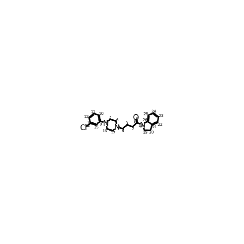 O=C(CCCN1CCN(c2cccc(Cl)c2)CC1)N1CCc2ccccc21